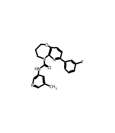 Cc1cncc(NC(=O)N2CCCOc3ccc(-c4cccc(F)c4)nc32)c1